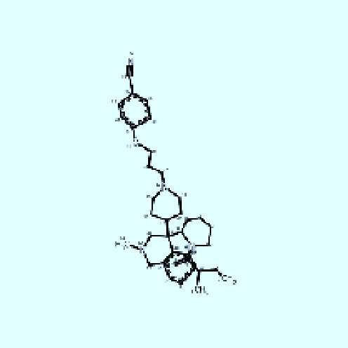 CCC(C)C(=O)N1CCCCC1C1(C2CCN(CCCOc3ccc(C#N)cc3)CC2)CN(C)Cc2ccccc21